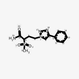 CS(=O)(=O)C(CCn1cc(-c2ccccc2)nn1)C(N)=O